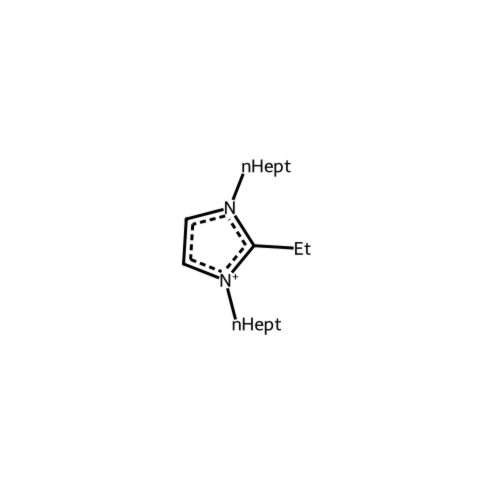 CCCCCCCn1cc[n+](CCCCCCC)c1CC